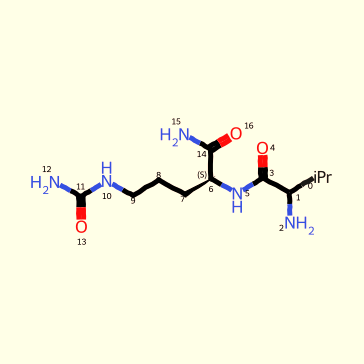 CC(C)C(N)C(=O)N[C@@H](CCCNC(N)=O)C(N)=O